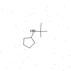 [CH2]C(C)(C)NC1CCCC1